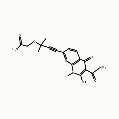 CCn1c(N)c(C(=O)NC)c(=O)c2ccc(C#CC(C)(C)OCC(N)=O)nc21